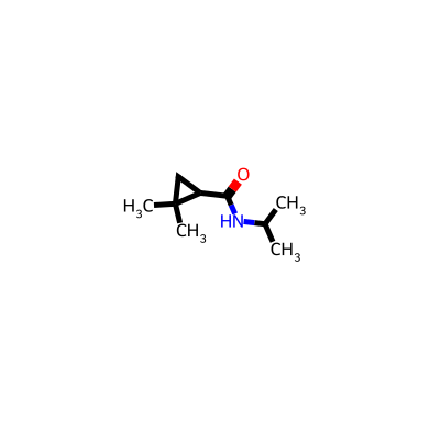 CC(C)NC(=O)C1CC1(C)C